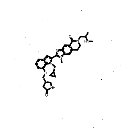 CNC(C)CN1CCc2cc3c(cc2C1=O)nc(-c1cc2cccc(OCC4CNC(=O)C4)c2n1CC1CC1)n3C